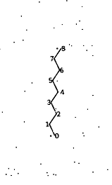 [CH2]CCCCCCC[CH2]